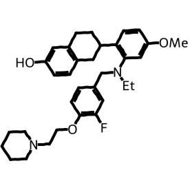 CCN(Cc1ccc(OCCN2CCCCC2)c(F)c1)c1cc(OC)ccc1C1CCc2cc(O)ccc2C1